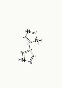 c1cc(-c2cnc[nH]2)c[nH]1